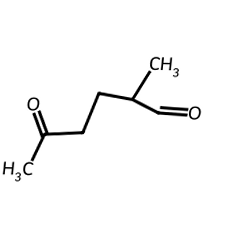 CC(=O)CCC(C)C=O